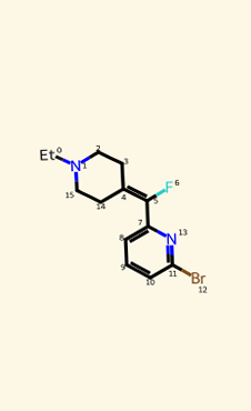 CCN1CCC(=C(F)c2cccc(Br)n2)CC1